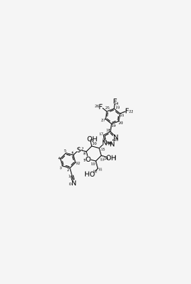 N#Cc1cccc(SC2OC(CO)C(O)C(n3cc(-c4cc(F)c(F)c(F)c4)nn3)C2O)c1